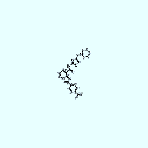 O=C(Nc1nc(CN2CCOCC2)cs1)c1cccn2cc(-c3ccc(C(F)F)cc3)nc12